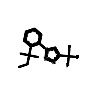 CCC(C)(C)c1ccccc1-n1cc(C(F)(F)F)nn1